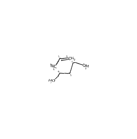 C=CC#N.OCCCO